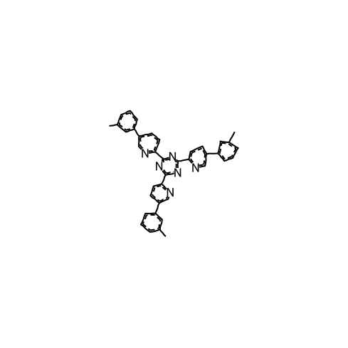 Cc1cccc(-c2ccc(-c3nc(-c4ccc(-c5cccc(C)c5)cn4)nc(-c4ccc(-c5cccc(C)c5)cn4)n3)nc2)c1